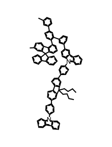 CCCCC1(CCCC)c2cc(-c3ccc(-n4c5ccccc5c5ccccc54)cc3)ccc2-c2ccc(-c3ccc(-n4c5ccccc5c5cc(-c6cccc(-c7cc(-c8cccc(C)c8)ccc7-c7cccc8c7-c7ccc(C)cc7C87c8ccccc8-c8ccccc87)c6)ccc54)cc3)cc21